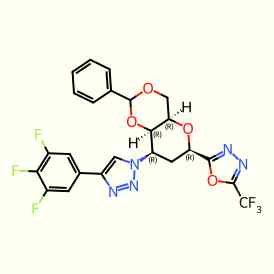 Fc1cc(-c2cn([C@@H]3C[C@H](c4nnc(C(F)(F)F)o4)O[C@@H]4COC(c5ccccc5)O[C@H]34)nn2)cc(F)c1F